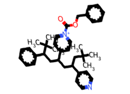 CC(C)(C)CC(CC(CC(c1ccccc1)C(C)(C)C)c1cc[n+](C(=O)OCc2ccccc2)cc1)c1ccncc1